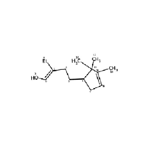 CCC(=CO)CCC1CC=C(C)C1(C)C